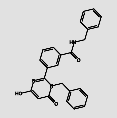 O=C(NCc1ccccc1)c1cccc(-c2nc(O)cc(=O)n2Cc2ccccc2)c1